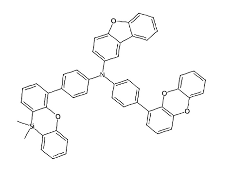 C[Si]1(C)c2ccccc2Oc2c(-c3ccc(N(c4ccc(-c5cccc6c5Oc5ccccc5O6)cc4)c4ccc5oc6ccccc6c5c4)cc3)cccc21